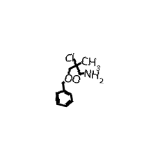 CC(Cl)(COCc1ccccc1)C(N)=O